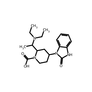 CCN(CC)C(C)C1CC(n2c(=O)[nH]c3ccccc32)CCN1C(=O)O